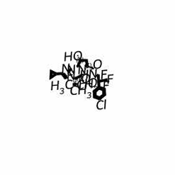 CC(C)(C)[C@@H](C(=O)N1C[C@H](O)C[C@H]1C(=O)NCC(O)(c1ccc(Cl)cc1)C(F)(F)F)n1cc(C2CC2)nn1